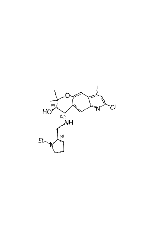 CCN1CCC[C@@H]1CN[C@H]1c2cc3nc(Cl)cc(C)c3cc2OC(C)(C)[C@@H]1O